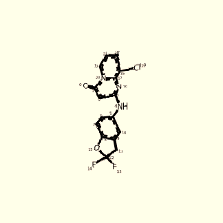 O=c1cc(Nc2ccc3c(c2)CC(F)(F)O3)nc2c(Cl)cccn12